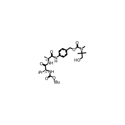 CC(C)[C@H](NC(=O)OC(C)(C)C)C(=O)N[C@@H](C)C(=O)Nc1ccc(COC(=O)N(C)C(C)(C)CO)cc1